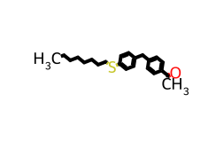 CCCCCCCCSc1ccc(Cc2ccc(C(C)=O)cc2)cc1